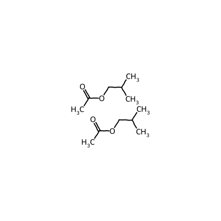 CC(=O)OCC(C)C.CC(=O)OCC(C)C